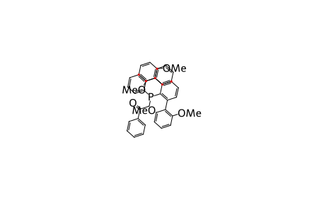 COc1cccc(OC)c1-c1cccc(-c2c(OC)cccc2OC)c1P(CC(=O)c1ccccc1)c1ccccc1-c1ccccc1